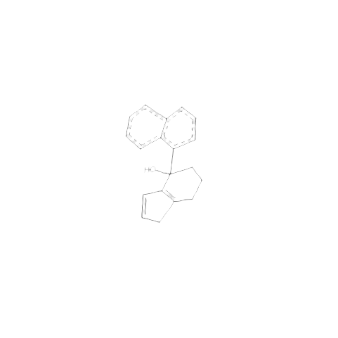 OC1(c2cccc3ccccc23)CCCC2=C1C=CC2